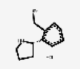 CC(C)Cc1ccccc1[C@@H]1CCCN1.Cl